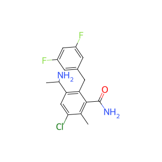 Cc1c(Cl)cc(C(C)N)c(Cc2cc(F)cc(F)c2)c1C(N)=O